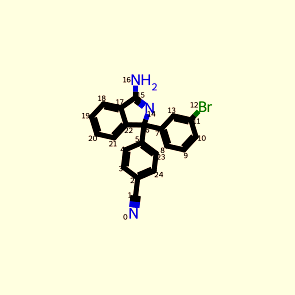 N#Cc1ccc(C2(c3cccc(Br)c3)N=C(N)c3ccccc32)cc1